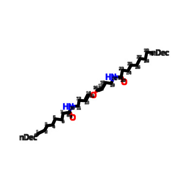 CCCCCCCCCCCCCCCCCC(=O)NCCC=COC=CCCNC(=O)CCCCCCCCCCCCCCCCC